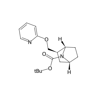 CC(C)(C)OC(=O)N1[C@@H]2CC[C@H]1[C@H](COc1ccccn1)C2